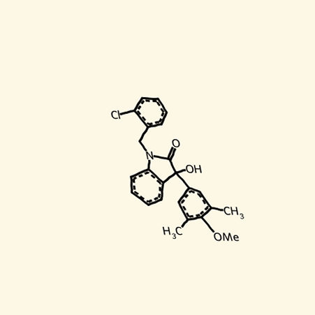 COc1c(C)cc(C2(O)C(=O)N(Cc3ccccc3Cl)c3ccccc32)cc1C